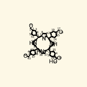 O=Cc1ccc(/C2=C3\C=CC(=N3)/C(c3ccc(C=O)cc3)=c3/cc/c([nH]3)=C(\c3ccc(C(=O)O)cc3)C3C=C/C(=C(\c4ccc(C=O)cc4)c4ccc2[nH]4)N3)cc1